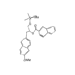 COc1ccc2cc(CC(CO[Si](C)(C)C(C)(C)C)OC(=O)c3ccc4ccccc4c3)ccc2c1